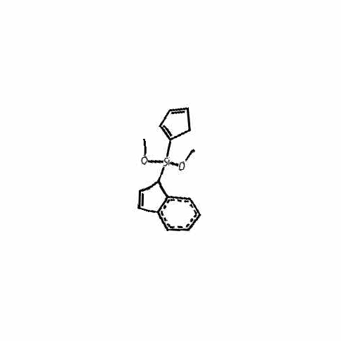 CO[Si](OC)(C1=CC=CC1)C1C=Cc2ccccc21